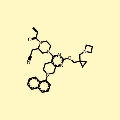 C=CC(=O)N1CCN(c2nc(OCC3(CN4CCC4)CC3)nc3c2CCN(c2cccc4ccccc24)C3)CC1CC#N